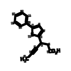 CC#CC(CC(=O)O)c1ccc(-c2ccccc2)s1